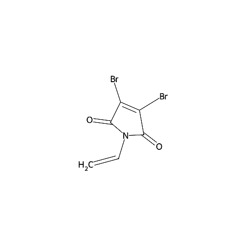 C=CN1C(=O)C(Br)=C(Br)C1=O